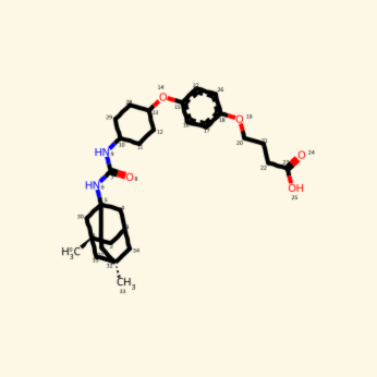 C[C@]12CC3CC(NC(=O)NC4CCC(Oc5ccc(OCCCC(=O)O)cc5)CC4)(C1)C[C@@](C)(C3)C2